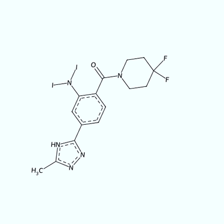 Cc1nnc(-c2ccc(C(=O)N3CCC(F)(F)CC3)c(N(I)I)c2)[nH]1